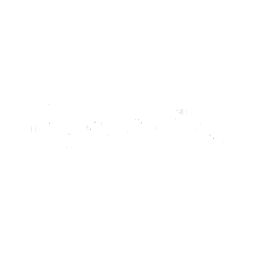 CC/C(CN1CC[C@H](NCC(N)=O)C1)=C(/C(=O)O)N1CC([C@@H](C)O)C1=O